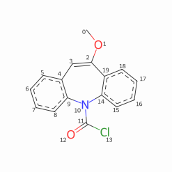 COC1=Cc2ccccc2N(C(=O)Cl)c2ccccc21